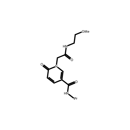 COCCNC(=O)Cn1cc(C(=O)NC(C)C)ccc1=O